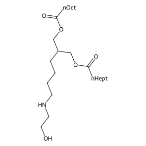 CCCCCCCCC(=O)OCC(CCCCNCCO)COC(=O)CCCCCCC